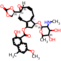 CNC1C(O)[C@@H](O)C(C)O[C@H]1O[C@H]1CC(OC(=O)c2c(O)ccc3c(C)cc(OC)cc23)=C2C#C[C@]3([C@H]4COC(=O)O4)O[C@@H]3C#C/C=C\21